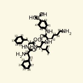 CC(C)C[C@@H](NC(=O)[C@@H](Cc1ccccc1)NC(=O)[C@H](N)Cc1ccccc1)C(=O)N[C@H](CCCCN)C(=O)Nc1ccc(B(O)O)cc1